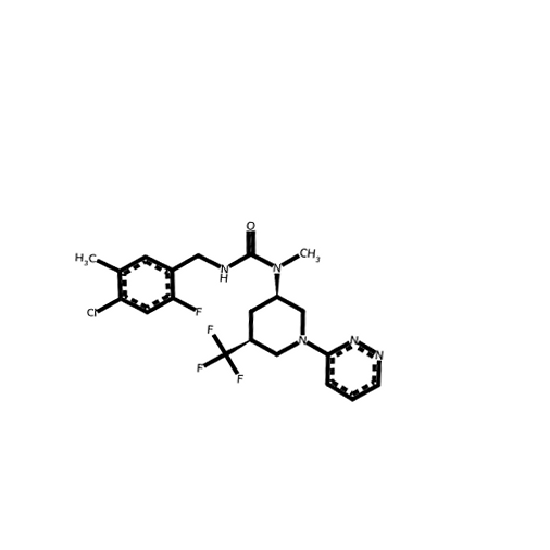 Cc1cc(CNC(=O)N(C)[C@@H]2C[C@H](C(F)(F)F)CN(c3cccnn3)C2)c(F)cc1Cl